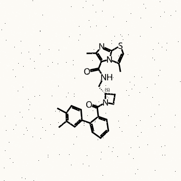 Cc1ccc(-c2ccccc2C(=O)N2CC[C@H]2CNC(=O)c2c(C)nc3scc(C)n23)cc1C